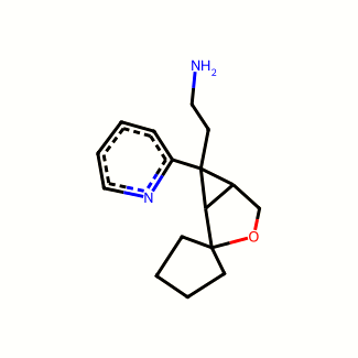 NCCC1(c2ccccn2)C2COC3(CCCC3)C21